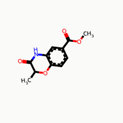 COC(=O)c1ccc2c(c1)NC(=O)C(C)O2